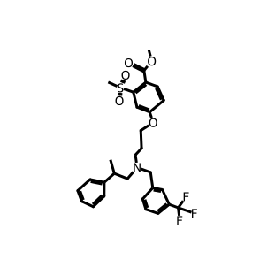 COC(=O)c1ccc(OCCCN(Cc2cccc(C(F)(F)F)c2)CC(C)c2ccccc2)cc1S(C)(=O)=O